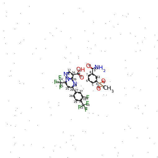 CS(=O)(=O)c1cccc(C(N)=O)c1.O=C(O)c1cnn2c(C(F)(F)F)cc(-c3ccc(C(F)(F)F)c(F)c3)nc12